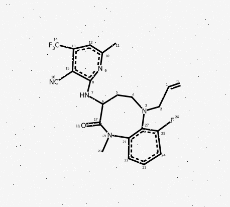 C=CCN1CCC(Nc2nc(C)cc(C(F)(F)F)c2C#N)C(=O)N(C)c2cccc(F)c21